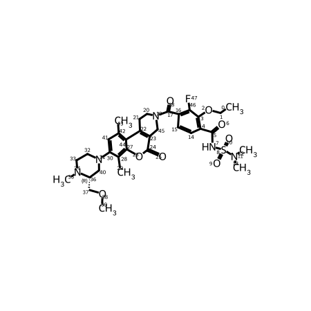 CCOc1c(C(=O)NS(=O)(=O)N(C)C)ccc(C(=O)N2CCc3c(c(=O)oc4c(C)c(N5CCN(C)[C@@H](COC)C5)cc(C)c34)C2)c1F